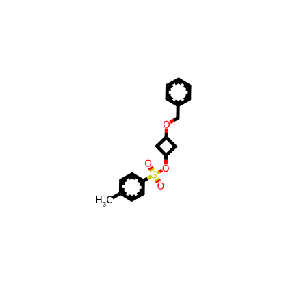 Cc1ccc(S(=O)(=O)OC2CC(OCc3ccccc3)C2)cc1